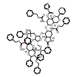 CC(C)(C[C@H]1[C@H](O[C@@H]2[C@H]3OC(=O)N[C@@H]3C[C@H](NC(=O)OCc3ccccc3)[C@H]2O[C@H]2O[C@@H]3COC(C4=CC=CCC4)O[C@H]3[C@H](OC(=S)n3ccnc3)[C@H]2NC(=O)OCc2ccccc2)O[C@H](CO[Si](c2ccccc2)(c2ccccc2)C(C)(C)C)[C@H]1O[C@H]1O[C@H]2CN(C(=O)OCc3ccccc3)C(c3ccccc3)O[C@H]2[C@H](O)[C@H]1NC(=O)OCc1ccccc1)[Si](O)(c1ccccc1)c1ccccc1